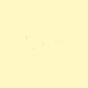 CCCCC(C)[Si](OCC)(OCC)OCC